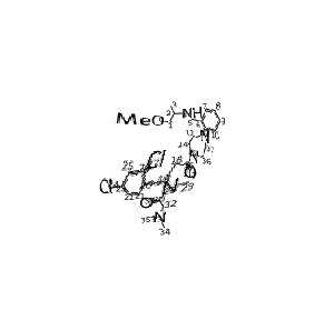 COCC(C)NCc1ccccc1N1CCN(C(=O)CC(c2ccc(Cl)cc2Cl)N(C)C(=O)CN(C)C)CC1